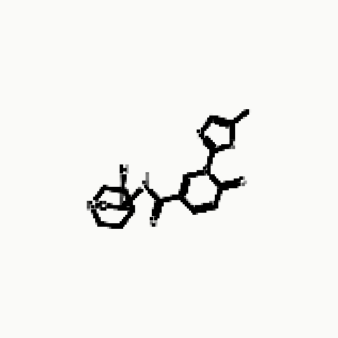 Cc1cnc(-n2cc(C(=O)N[C@H]3CN4CCC3CC4)ccc2=O)s1